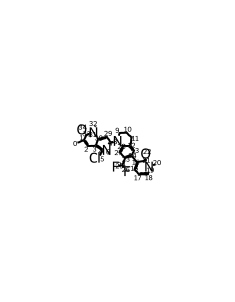 Cc1cc2c(Cl)nc(N3CCCc4cc(-c5cccn(C)c5=O)c(C(F)F)cc43)cc2n(C)c1=O